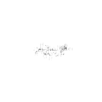 CC1(C)[C@@H]2CC[C@@]1(C)C(Nc1nc(Cl)nc3c1ncn3C1OC(CCP(=O)(O)CP(=O)(O)O)C(O)C1O)C2